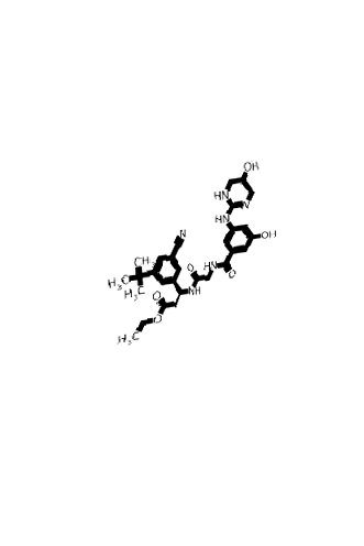 CCOC(=O)C[C@H](NC(=O)CNC(=O)c1cc(O)cc(NC2=NCC(O)CN2)c1)c1cc(C#N)cc(C(C)(C)C)c1